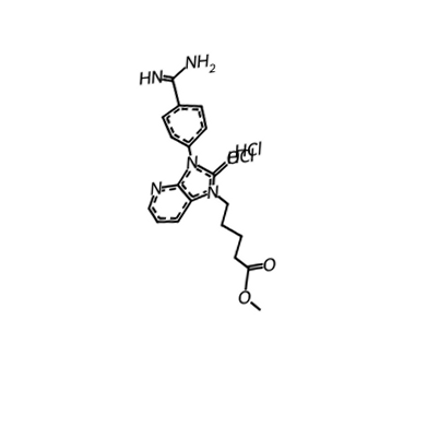 COC(=O)CCCCn1c(=O)n(-c2ccc(C(=N)N)cc2)c2ncccc21.Cl.Cl